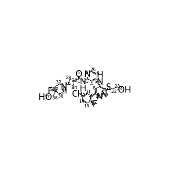 O=C(Nc1cc(Nc2cc(-c3cc(Cl)ccc3F)nnc2SCCO)ccn1)C1CC(N2CCC(F)(CO)CC2)C1